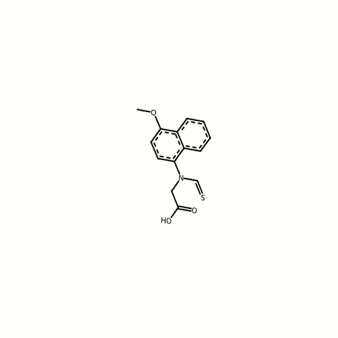 COc1ccc(N(C=S)CC(=O)O)c2ccccc12